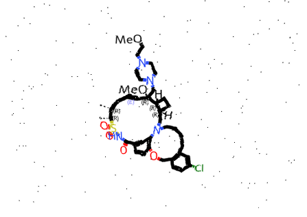 COCCN1CCN(C[C@]2(OC)/C=C/C[C@@H](C)[C@@H](C)S(=O)(=O)NC(=O)c3ccc4c(c3)N(CCCCc3cc(Cl)ccc3CO4)C[C@@H]3CC[C@H]32)CC1